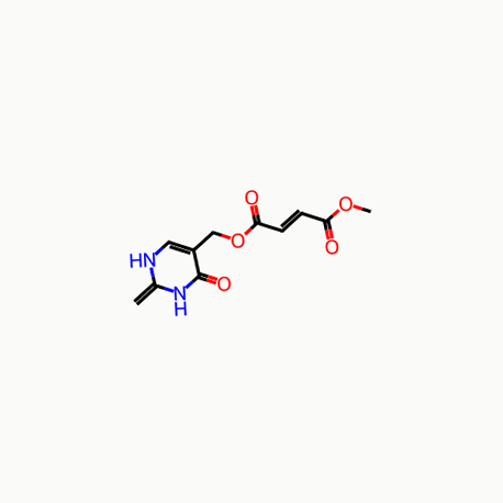 C=C1NC=C(COC(=O)/C=C/C(=O)OC)C(=O)N1